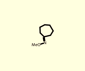 CON=C1CCCCCC1